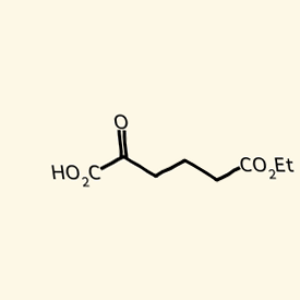 CCOC(=O)CCCC(=O)C(=O)O